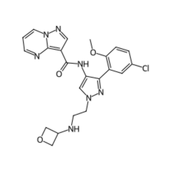 COc1ccc(Cl)cc1-c1nn(CCNC2COC2)cc1NC(=O)c1cnn2cccnc12